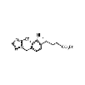 CCOC(=O)CCCc1ccc(Cn2ncnc2C(F)(F)F)cc1N